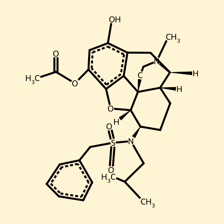 CC(=O)Oc1cc(O)c2c3c1O[C@H]1[C@H](N(CC(C)C)S(=O)(=O)Cc4ccccc4)CC[C@H]4[C@@H](C2)N(C)CC[C@@]341